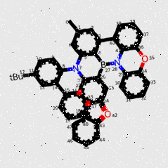 Cc1cc2c3c(c1)N(c1ccc(C(C)(C)C)cc1-c1ccccc1)c1cc4c(cc1B3N1c3ccccc3Oc3cccc-2c31)oc1ccccc14